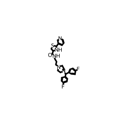 O=C(NCCCN1CCN(C(c2ccc(F)cc2)c2ccc(F)cc2)CC1)C1CSC(c2cccnc2)N1